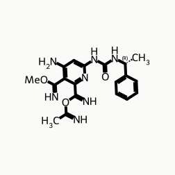 COC(=N)c1c(N)cc(NC(=O)N[C@H](C)c2ccccc2)nc1C(=N)OC(C)=N